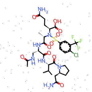 CC(=O)NC[C@H](NC(=O)[C@H](C)N([C@@H](CCC(N)=O)C(=O)O)S(=O)(=O)c1ccc(Cl)c(C(F)(F)F)c1)C(=O)N[C@H](C(=O)N1CCC[C@H]1CC(N)=O)C(C)C